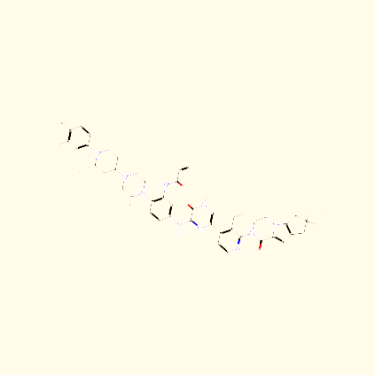 C=CC(=O)Nc1cc(Nc2nc(-c3ccnc(N4CCn5c(cc6c5CC(C)(C)C6)C4=O)c3CO)cn(C)c2=O)ccc1N1CCN(C2CCN(c3ccc(Cl)c(C)c3)[C@H](C)C2)C[C@@H]1C